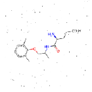 Cc1cccc(C)c1OCC(C)NC(=O)[C@@H](N)CCC(=O)O